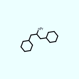 CCCC(CC1CCCCC1)CC1CCCCC1